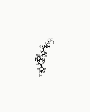 O=C(NCCC(F)(F)F)c1cc(-c2cnn3cc(C4C=NNC4)cnc23)cs1